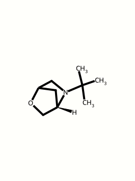 CC(C)(C)N1CC2C[C@H]1CO2